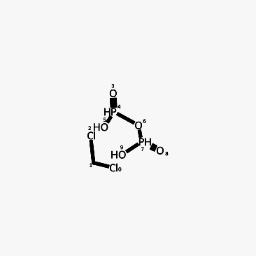 ClCCl.O=[PH](O)O[PH](=O)O